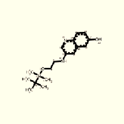 CC(C)(C)[Si](C)(C)OCCNc1cnc2ccc(O)cc2c1